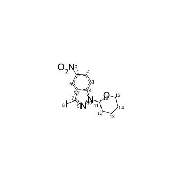 O=[N+]([O-])c1ccc2c(c1)c(I)nn2C1CCCCO1